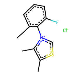 Cc1cccc(F)c1-[n+]1csc(C)c1C.[Cl-]